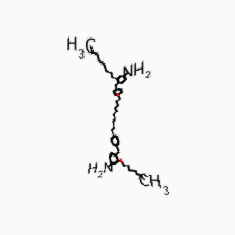 CCCCCCCCc1cc(N)ccc1Cc1ccc(CCCCCCCCCCc2ccc(Cc3ccc(N)cc3CCCCCCCC)cc2)cc1